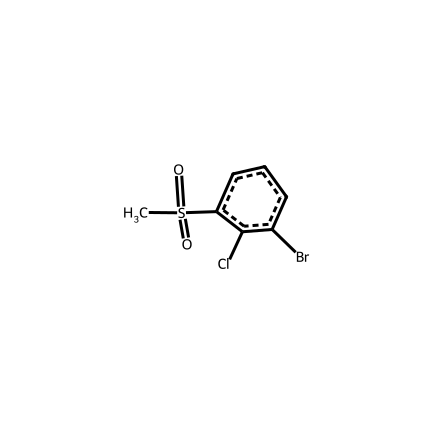 CS(=O)(=O)c1cccc(Br)c1Cl